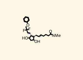 CNC(=O)CCC/C=C/C[C@@H]1[C@@H](/C=C/C(F)(F)COc2ccccc2)[C@H](O)C[C@@H]1O